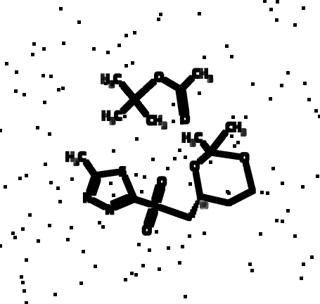 CC(=O)OC(C)(C)C.Cc1nnc(S(=O)(=O)C[C@H]2CCOC(C)(C)O2)s1